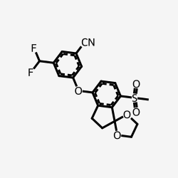 CS(=O)(=O)c1ccc(Oc2cc(C#N)cc(C(F)F)c2)c2c1C1(CC2)OCCO1